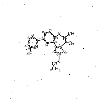 COCn1cc2c(n1)C(=O)N(C)Cc1ccc(-c3cccc(F)n3)cc1-2